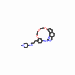 CN1CCC(NCCCc2ccc3cc2OCCOCCOc2ccc4c(c2)-c2nc(ncc2CC4)N3)CC1